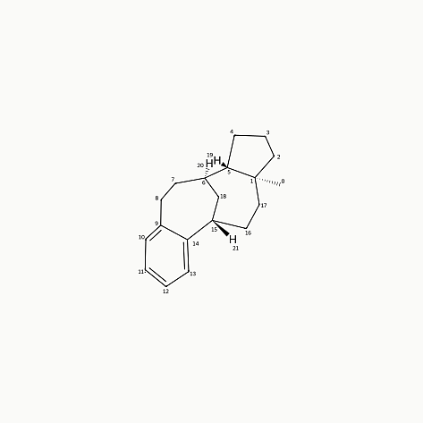 C[C@@]12CCC[C@H]1[C@@H]1CCc3c[c]ccc3[C@@H](CC2)C1